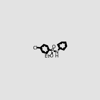 CCOP(=O)(Nc1ccccc1)c1ccc(Cl)cc1